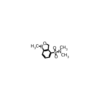 CB1OCc2c1cccc2S(=O)(=O)N(C)C